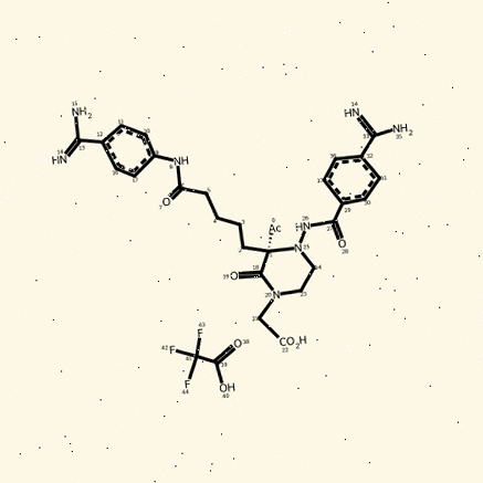 CC(=O)[C@@]1(CCCCC(=O)Nc2ccc(C(=N)N)cc2)C(=O)N(CC(=O)O)CCN1NC(=O)c1ccc(C(=N)N)cc1.O=C(O)C(F)(F)F